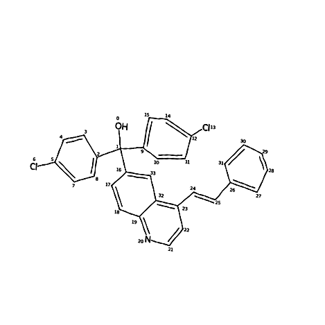 OC(c1ccc(Cl)cc1)(c1ccc(Cl)cc1)c1ccc2nccc(C=Cc3ccccc3)c2c1